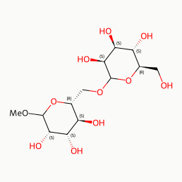 COC1O[C@H](COC2O[C@H](CO)[C@@H](O)[C@H](O)[C@@H]2O)[C@@H](O)[C@H](O)[C@@H]1O